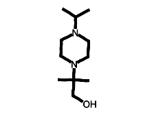 CC(C)N1CCN(C(C)(C)CO)CC1